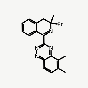 CCC1(C)Cc2ccccc2C(c2nnc3ccc(C)c(C)c3n2)=N1